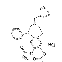 CC(C)(C)C(=O)Oc1cc2c(cc1OC(=O)C(C)(C)C)C(c1ccccc1)CN(Cc1ccccc1)CC2.Cl